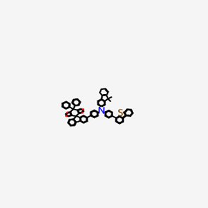 CC1(C)C2=C(CCC=C2)c2ccc(N(c3ccc(-c4ccc5c(c4)C4(c6ccccc6-5)c5ccccc5C(c5ccccc5)(c5ccccc5)c5ccccc54)cc3)c3ccc(-c4cccc5c4sc4ccccc45)cc3)cc21